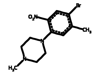 Cc1cc(N2CCN(C)CC2)c([N+](=O)[O-])cc1Br